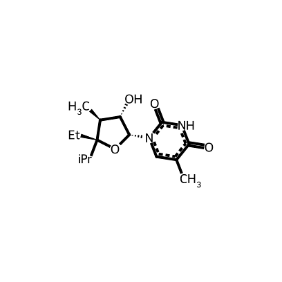 CC[C@]1(C(C)C)O[C@@H](n2cc(C)c(=O)[nH]c2=O)[C@@H](O)[C@@H]1C